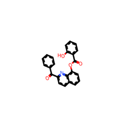 O=C(c1ccccc1)c1ccc2cccc(OC(=O)c3ccccc3O)c2n1